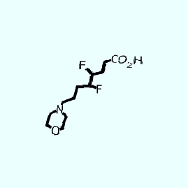 O=C(O)C=CC(F)C(F)CCCN1CCOCC1